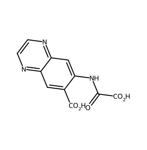 O=C(O)C(=O)Nc1cc2nccnc2cc1C(=O)O